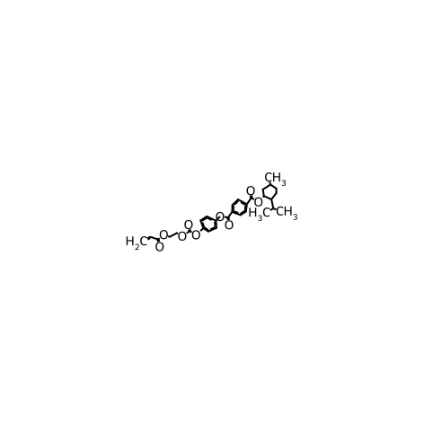 C=CC(=O)OCCOC(=O)Oc1ccc(OC(=O)c2ccc(C(=O)OC3CC(C)CCC3C(C)C)cc2)cc1